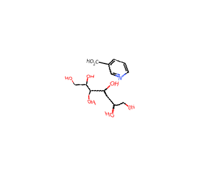 O=C(O)c1cccnc1.OCC(O)C(O)C(O)C(O)CO